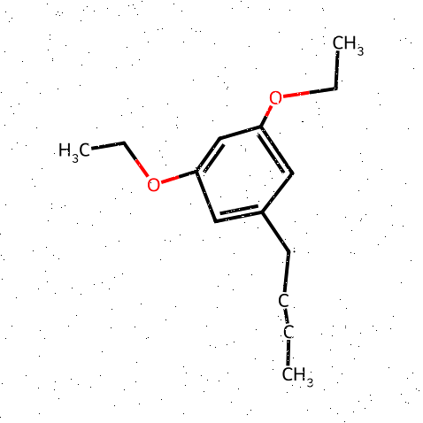 CCC[CH]c1cc(OCC)cc(OCC)c1